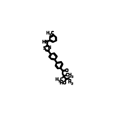 C=C(O)C(C)(C)CC(=O)c1ccc(-c2ccc(-c3csc(Nc4cccc(C)c4)n3)cc2)cc1